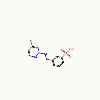 O=S(=O)(O)c1cccc(CNN2N=C(F)C=[C]N2)c1